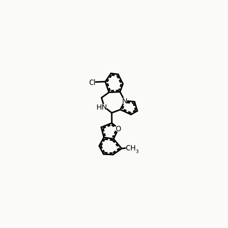 Cc1cccc2cc(C3NCc4c(Cl)cccc4-n4cccc43)oc12